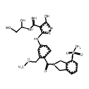 CNCc1cc(Nc2snc(O)c2C(=N)NC(O)CO)ccc1C(=O)N1Cc2cccc(S(N)(=O)=O)c2C1